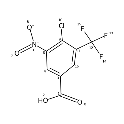 O=C(O)c1cc([N+](=O)[O-])c(Cl)c(C(F)(F)F)c1